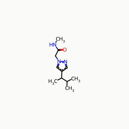 CNC(=O)Cn1cc(C(C)C(C)C)cn1